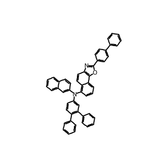 c1ccc(-c2ccc(-c3nc4ccc5c(N(c6ccc(-c7ccccc7)c(-c7ccccc7)c6)c6ccc7ccccc7c6)cccc5c4o3)cc2)cc1